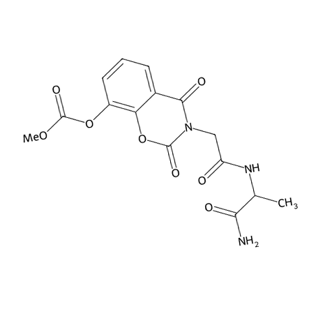 COC(=O)Oc1cccc2c(=O)n(CC(=O)NC(C)C(N)=O)c(=O)oc12